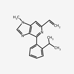 C=Cc1cc2c(ncn2C)c(-c2ccccc2C(C)C)n1